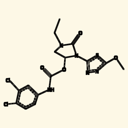 CCN1CC(OC(=O)Nc2ccc(Cl)c(Cl)c2)N(c2nnc(OC)s2)C1=O